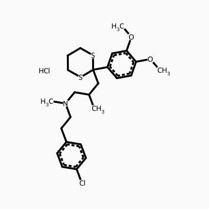 COc1ccc(C2(CC(C)CN(C)CCc3ccc(Cl)cc3)SCCCS2)cc1OC.Cl